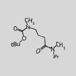 CC(C)N(C)C(=O)CCCN(C)C(=O)OC(C)(C)C